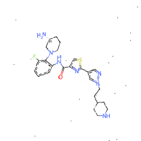 N[C@@H]1CCCN(c2c(F)cccc2NC(=O)c2csc(-c3cnn(CCC4CCNCC4)c3)n2)C1